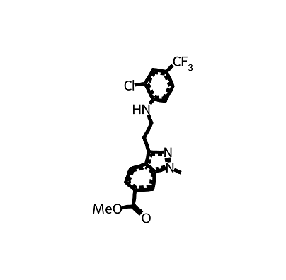 COC(=O)c1ccc2c(CCNc3ccc(C(F)(F)F)cc3Cl)nn(C)c2c1